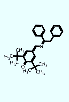 CC(C)(C)C1=CC(=C/N=C(/Cc2ccccc2)c2ccccc2)C=C(C(C)(C)C)C1=O